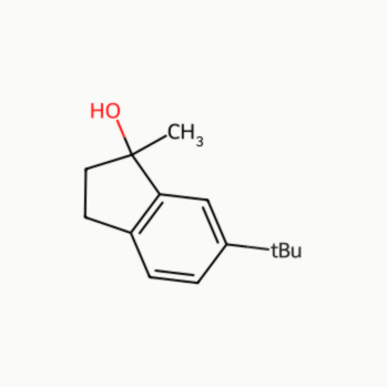 CC(C)(C)c1ccc2c(c1)C(C)(O)CC2